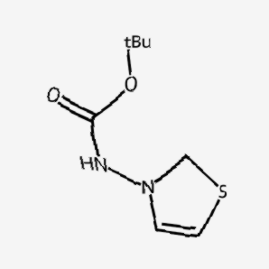 CC(C)(C)OC(=O)NN1C=CSC1